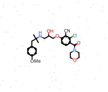 COc1ccc(CC(C)(C)NCC(O)COc2ccc(C(=O)N3CCOCC3)c(Cl)c2C#N)cc1